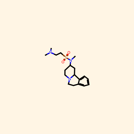 CN(C)CCS(=O)(=O)N(C)C1CCN2CCc3ccccc3C2C1